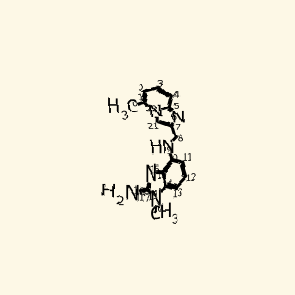 Cc1cccc2nc(CNc3cccc4c3nc(N)n4C)cn12